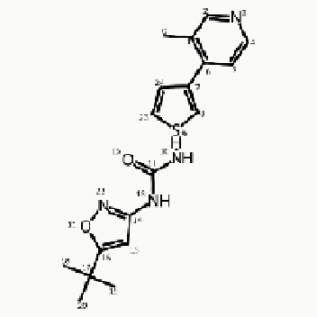 Cc1cnccc1C1=C[SH](NC(=O)Nc2cc(C(C)(C)C)on2)C=C1